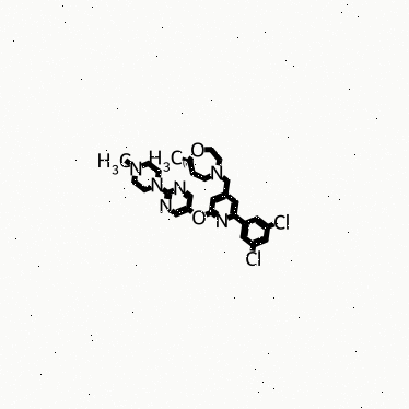 C[C@@H]1CCN(Cc2cc(Oc3cnc(N4CCN(C)CC4)nc3)nc(-c3cc(Cl)cc(Cl)c3)c2)CCO1